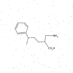 CC(CCC(CN)C(=O)O)c1ccccc1